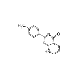 Cc1ccc(-c2cc3[nH]cccc-3c(=O)n2)cc1